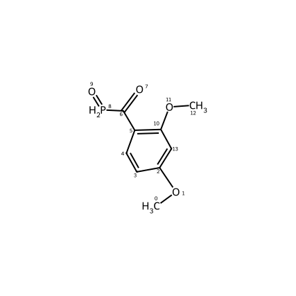 COc1ccc(C(=O)[PH2]=O)c(OC)c1